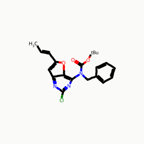 C/C=C/c1cc2nc(Cl)nc(N(Cc3ccccc3)C(=O)OC(C)(C)C)c2o1